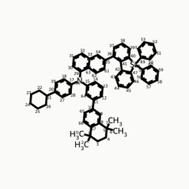 CC1(C)CCC(C)(C)c2cc(-c3cccc(N(c4ccc(C5CCCCC5)cc4)c4cccc5cc(-c6cccc7c6-c6ccccc6[Si]7(c6ccccc6)c6ccccc6)ccc45)c3)ccc21